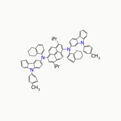 Cc1ccc(-n2c3ccccc3c3cc(N(c4cccc5c4CCCC5)c4cc(C(C)C)c5ccc6c(N(c7ccc8c9ccccc9n(-c9ccc(C)cc9)c8c7)c7cccc8c7CCCC8)cc(C(C)C)c7ccc4c5c76)ccc32)cc1